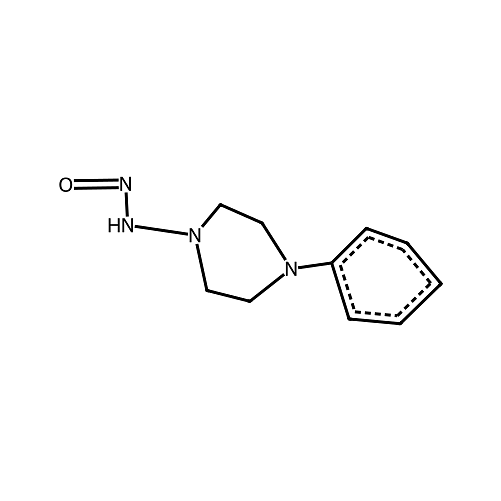 O=NNN1CCN(c2ccccc2)CC1